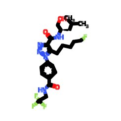 CC(C)C[C@@H](CO)NC(=O)c1nnn(-c2ccc(C(=O)NCC(F)(F)F)cc2)c1CCCCCF